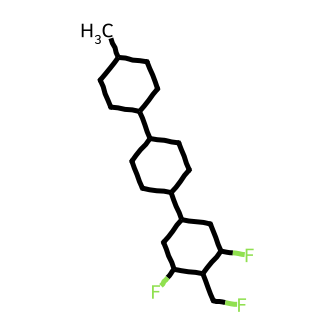 CC1CCC(C2CCC(C3CC(F)C(CF)C(F)C3)CC2)CC1